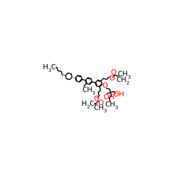 C=C(C)C(=O)OCCCc1cc(-c2ccc(-c3ccc([C@H]4CC[C@H](CCCCC)CC4)cc3)c(CC)c2)cc(CCCOC(=O)C(=C)C)c1OCCC(CO)(CO)CCCC